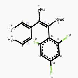 C\C=C/C(=C\C)C(/CCCC)=C(/NC)c1c(F)cc(F)cc1F